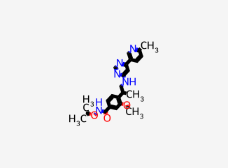 COc1cc(C(=O)NOC(C)C)ccc1C(C)CNc1cc(-c2ccc(C)nc2)ncn1